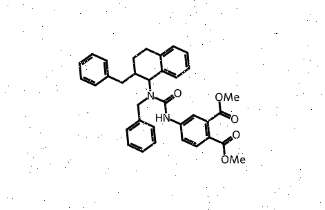 COC(=O)c1ccc(NC(=O)N(Cc2ccccc2)C2c3ccccc3CCC2Cc2ccccc2)cc1C(=O)OC